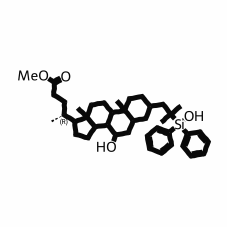 COC(=O)CC[C@@H](C)C1CCC2C3C(O)CC4CC(CC(C)(C)[Si](O)(c5ccccc5)c5ccccc5)CCC4(C)C3CCC21C